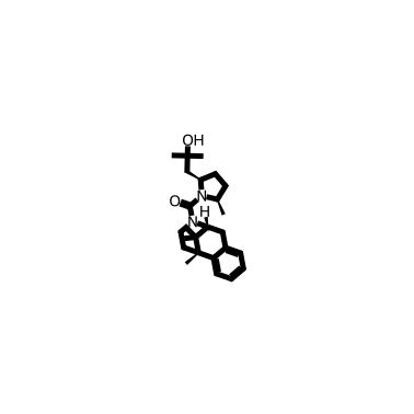 C[C@@H]1CC[C@H](CC(C)(C)O)N1C(=O)N1CC[C@@]2(C)c3ccccc3C[C@@H]1C2(C)C